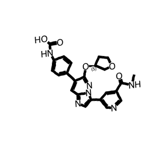 CNC(=O)c1cncc(-c2cnc3cc(-c4ccc(NC(=O)O)cc4)c(O[C@H]4CCOC4)nn23)c1